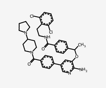 CC(Oc1cc(-c2ccc(C(=O)N3CCC(N4CCCC4)CC3)cc2)cnc1N)c1ccc(C(=O)NCCc2c(Cl)cccc2Cl)cc1